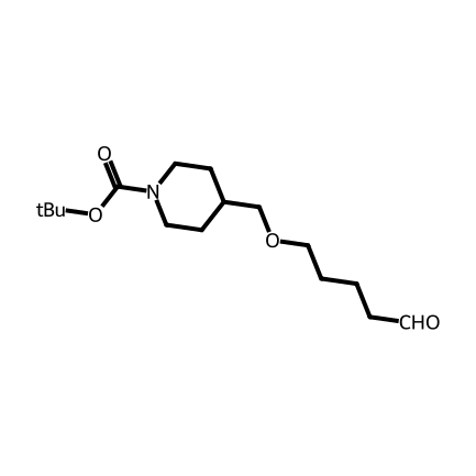 CC(C)(C)OC(=O)N1CCC(COCCCCC=O)CC1